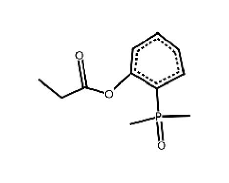 CCC(=O)Oc1ccccc1P(C)(C)=O